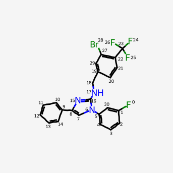 Fc1cccc(-n2cc(-c3ccccc3)nc2NCc2ccc(C(F)(F)F)c(Br)c2)c1